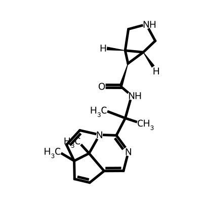 CC(C)(NC(=O)[C@H]1[C@@H]2CNC[C@@H]21)C1=NC=C2C=CC3(C)C=CN1C23C